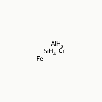 [AlH3].[Cr].[Fe].[SiH4]